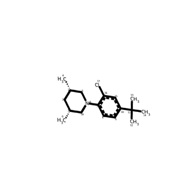 C[C@@H]1C[C@H](C)CN(c2ccc(C(C)(C)C)cc2Cl)C1